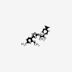 COc1nc(C)ccc1-c1nnc(N[C@@H](C)C(=O)N2CCC3(CC2)CC3)o1